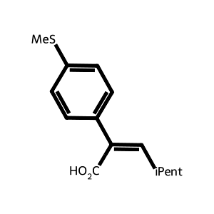 CCCC(C)C=C(C(=O)O)c1ccc(SC)cc1